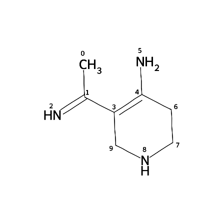 CC(=N)C1=C(N)CCNC1